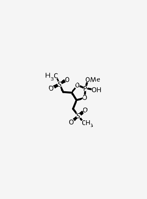 CO[P]1(O)OC(CS(C)(=O)=O)C(CS(C)(=O)=O)O1